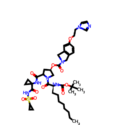 CCCCCCCC[C@H](NC(=O)OC(C)(C)C)C(=O)N1C[C@H](OC(=O)N2Cc3ccc(OCCn4ccnc4)cc3C2)CC1C(=O)NC1(C(=O)NS(=O)(=O)C2CC2)CC1